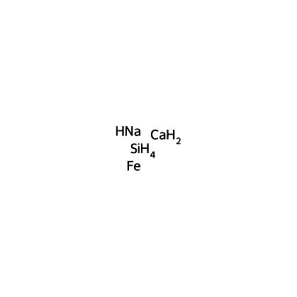 [CaH2].[Fe].[NaH].[SiH4]